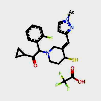 CC(=O)n1ccc(/C=C2\CN(C(C(=O)C3CC3)c3ccccc3F)CCC2S)n1.O=C(O)C(F)(F)F